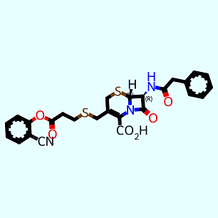 N#Cc1ccccc1OC(=O)CCSCC1=C(C(=O)O)N2C(=O)[C@@H](NC(=O)Cc3ccccc3)[C@H]2SC1